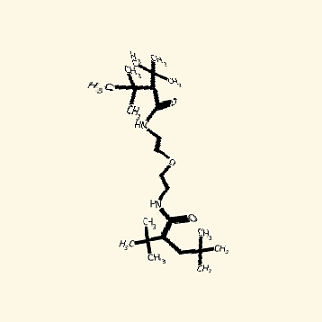 CC(C)(C)CC(C(=O)NCCOCCNC(=O)C(C(C)(C)C)C(C)(C)C)C(C)(C)C